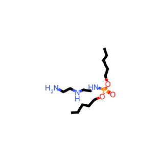 CCCCCOP(=O)(NCCNCCN)OCCCCC